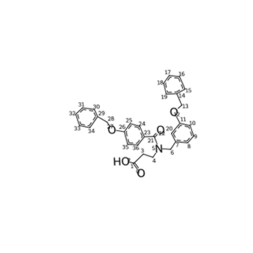 O=C(O)CCN(Cc1cccc(OCc2ccccc2)c1)C(=O)c1ccc(OCc2ccccc2)cc1